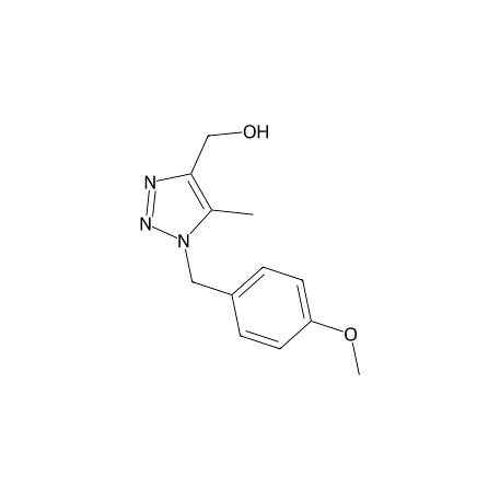 COc1ccc(Cn2nnc(CO)c2C)cc1